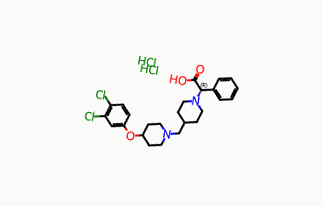 Cl.Cl.O=C(O)[C@@H](c1ccccc1)N1CCC(CN2CCC(Oc3ccc(Cl)c(Cl)c3)CC2)CC1